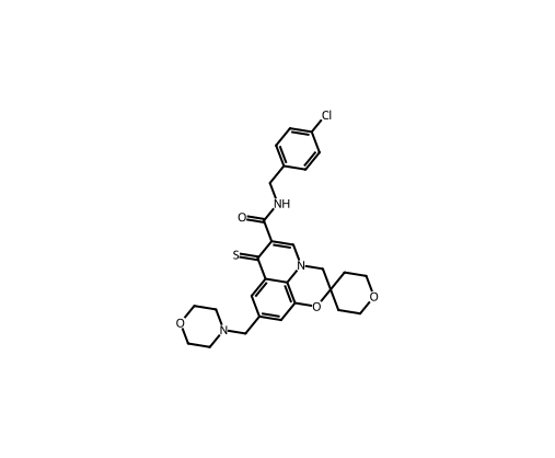 O=C(NCc1ccc(Cl)cc1)c1cn2c3c(cc(CN4CCOCC4)cc3c1=S)OC1(CCOCC1)C2